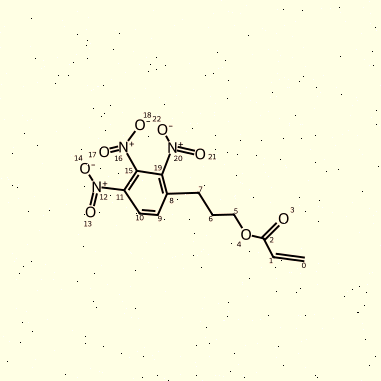 C=CC(=O)OCCCc1ccc([N+](=O)[O-])c([N+](=O)[O-])c1[N+](=O)[O-]